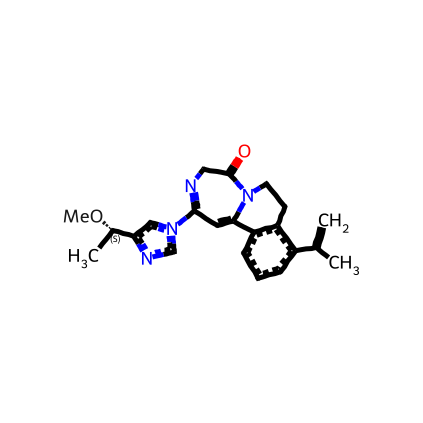 C=C(C)c1cccc2c1CCN1C(=O)CN=C(n3cnc([C@H](C)OC)c3)C=C21